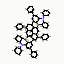 c1ccc(-c2cc3c4c(c2)N(c2ccccc2)c2ccccc2B4c2cc4c(-c5ccccc5)cc5c6c(cc7c(-c8ccccc8)cc-3c2c7c46)B2c3ccccc3N(c3ccccc3)c3cc(-c4ccccc4)cc-5c32)cc1